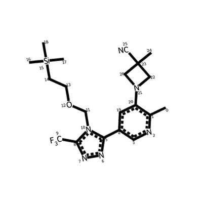 Cc1ncc(-c2nnc(C(F)(F)F)n2COCC[Si](C)(C)C)cc1N1CC(C)(C#N)C1